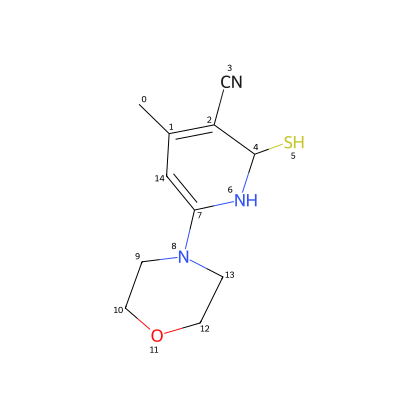 CC1=C(C#N)C(S)NC(N2CCOCC2)=C1